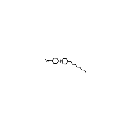 CCCCCCCCC1CCN(C2CCC(C#N)CC2)CC1